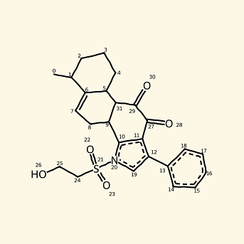 CC1CCCC2C1=CCC1c3c(c(-c4ccccc4)cn3S(=O)(=O)CCO)C(=O)C(=O)C21